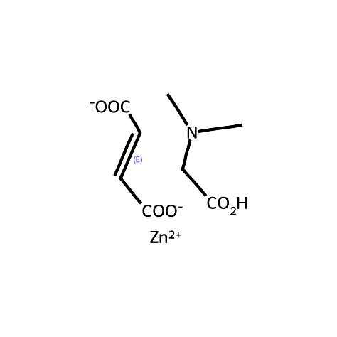 CN(C)CC(=O)O.O=C([O-])/C=C/C(=O)[O-].[Zn+2]